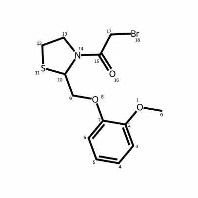 COc1ccccc1OCC1SCCN1C(=O)CBr